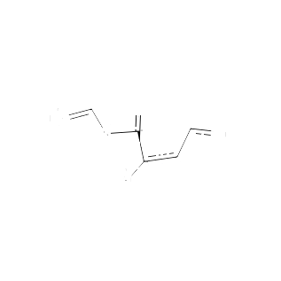 C=C/C=C(\C(=O)NC=C)C(C)CC